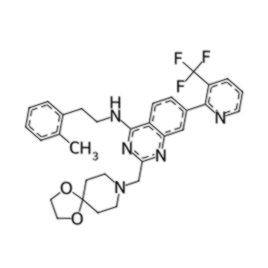 Cc1ccccc1CCNc1nc(CN2CCC3(CC2)OCCO3)nc2cc(-c3ncccc3C(F)(F)F)ccc12